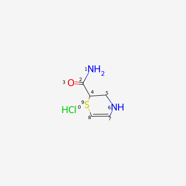 Cl.NC(=O)C1CNC=CS1